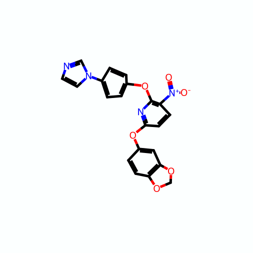 O=[N+]([O-])c1ccc(Oc2ccc3c(c2)OCO3)nc1Oc1ccc(-n2ccnc2)cc1